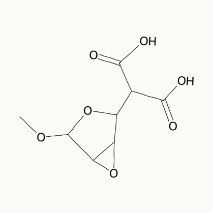 COC1OC(C(C(=O)O)C(=O)O)C2OC12